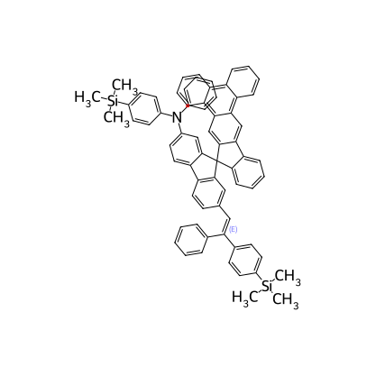 C[Si](C)(C)c1ccc(/C(=C/c2ccc3c(c2)C2(c4ccccc4-c4cc5c6ccccc6c6ccccc6c5cc42)c2cc(N(c4ccccc4)c4ccc([Si](C)(C)C)cc4)ccc2-3)c2ccccc2)cc1